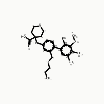 CCCOCc1cc(NC2(C(=O)O)CCOCC2)ccc1-c1cc(C)c(C)c(OC)c1F